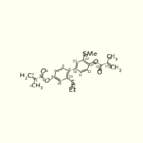 C=C(C)C(=O)Oc1ccc(-c2ccc(OC(=O)C(=C)C)c(SC)c2)c(SCC)c1